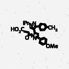 COc1ccc(C2=NN(C(=O)CCC(=O)O)C(c3cn(C(C)C)nc3-c3ccc(C)cc3)C2)cc1